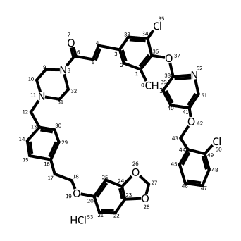 Cc1cc(/C=C/C(=O)N2CCN(Cc3ccc(CCOc4ccc5c(c4)OCO5)cc3)CC2)cc(Cl)c1Oc1ccc(OCc2ccccc2Cl)cn1.Cl